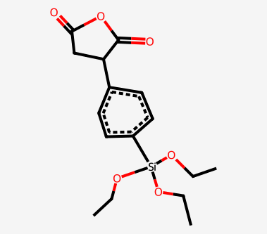 CCO[Si](OCC)(OCC)c1ccc(C2CC(=O)OC2=O)cc1